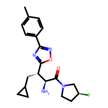 Cc1ccc(-c2noc([C@@H](CC3CC3)[C@H](N)C(=O)N3CC[C@H](F)C3)n2)cc1